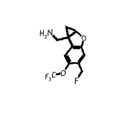 NCC12CC1Oc1cc(CF)c(OC(F)(F)F)cc12